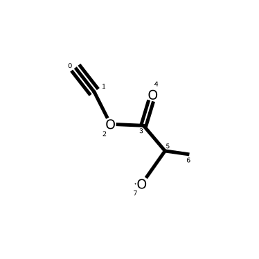 C#COC(=O)C(C)[O]